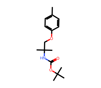 Cc1ccc(OCC(C)(C)NC(=O)OC(C)(C)C)cc1